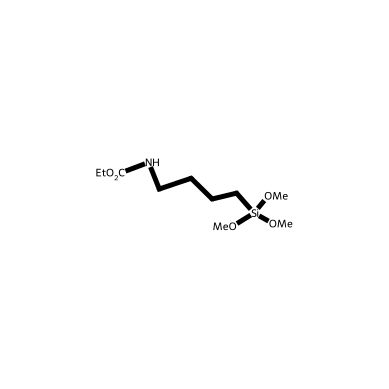 CCOC(=O)NCCCC[Si](OC)(OC)OC